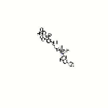 N=C/C(=C\NC1CC(CCCNc2ccc3c(c2)C(=O)N(C2CCC(=O)NC2=O)C3=O)C1)c1cnc2ccc(C3CCOCC3)cc2n1